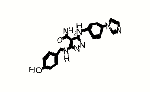 NC(=O)C1=C(NCc2ccc(O)cc2)N=NC1Nc1ccc(-n2ccnc2)cc1